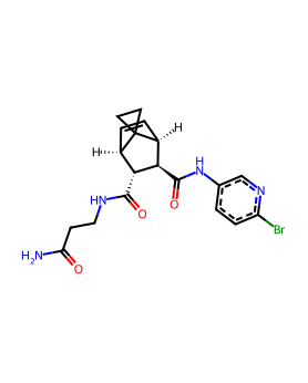 NC(=O)CCNC(=O)[C@H]1[C@H](C(=O)Nc2ccc(Br)nc2)[C@@H]2C=C[C@H]1C21CC1